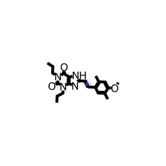 CCCn1c(=O)c2[nH]c(/C=C/c3cc(C)c(OC)cc3C)nc2n(CCC)c1=O